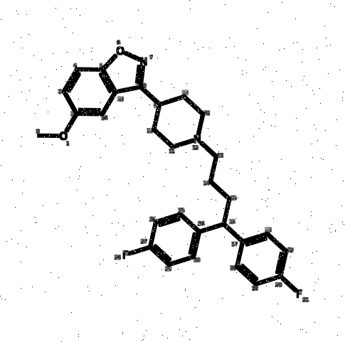 COc1ccc2onc(C3CCN(CCCC(c4ccc(F)cc4)c4ccc(F)cc4)CC3)c2c1